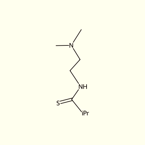 CC(C)C(=S)NCCN(C)C